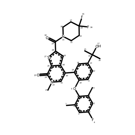 Cc1cc(F)cc(C)c1Oc1ccc(C(C)(C)O)cc1-c1cn(C)c(=O)c2sc(C(=O)N3CCC(F)(F)CC3)cc12